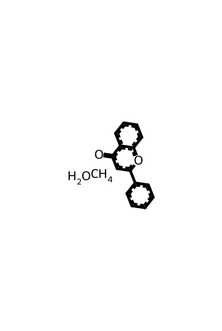 C.O.O=c1cc(-c2ccccc2)oc2ccccc12